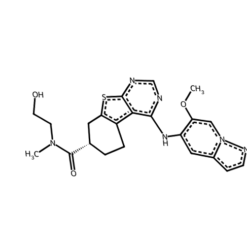 COc1cn2nccc2cc1Nc1ncnc2sc3c(c12)CC[C@H](C(=O)N(C)CCO)C3